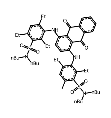 CCCCN(CCCC)S(=O)(=O)c1c(C)cc(CC)c(Nc2ccc(Nc3c(CC)cc(CC)c(S(=O)(=O)N(CCCC)CCCC)c3CC)c3c2C(=O)c2ccccc2C3=O)c1CC